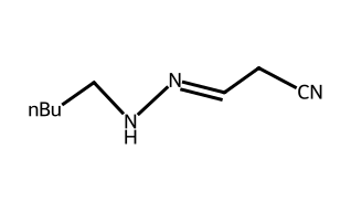 CCCCCNN=CCC#N